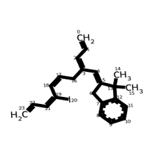 C=C/C=C(\C=C1/Cc2ccccc2C1(C)C)C/C=C\C(I)=C/C=C